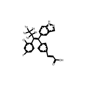 [2H]C([2H])([2H])C([2H])([2H])/C(=C(/c1ccc(/C=C/C(=O)O)cc1)c1ccc2[nH]ncc2c1)c1ccc(F)cc1Cl